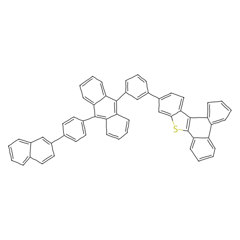 c1cc(-c2ccc3c(c2)sc2c4ccccc4c4ccccc4c32)cc(-c2c3ccccc3c(-c3ccc(-c4ccc5ccccc5c4)cc3)c3ccccc23)c1